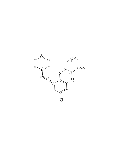 COC=C(OC1=CC=C(Cl)CC1=C=NN1CCOCC1)C(=O)OC